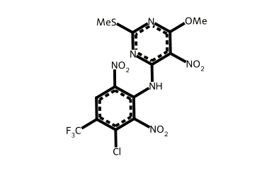 COc1nc(SC)nc(Nc2c([N+](=O)[O-])cc(C(F)(F)F)c(Cl)c2[N+](=O)[O-])c1[N+](=O)[O-]